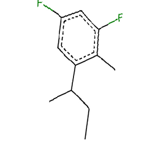 CCC(C)c1cc(F)cc(F)c1C